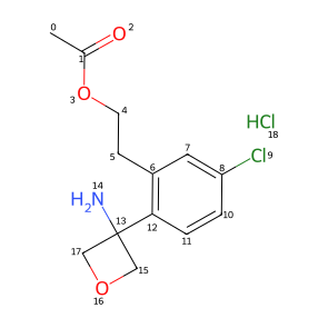 CC(=O)OCCc1cc(Cl)ccc1C1(N)COC1.Cl